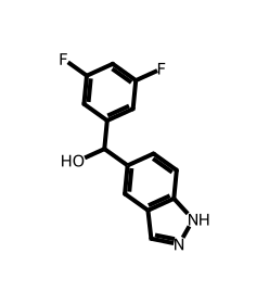 OC(c1cc(F)cc(F)c1)c1ccc2[nH]ncc2c1